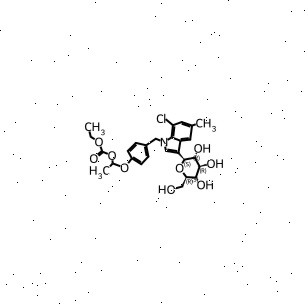 CCOC(=O)OC(C)Oc1ccc(Cn2cc([C@@H]3O[C@H](CO)[C@@H](O)[C@H](O)[C@H]3O)c3cc(C)cc(Cl)c32)cc1